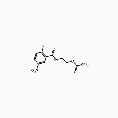 NC(=O)OCCNC(=O)c1cc([N+](=O)[O-])ccc1F